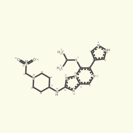 CC(C)Sc1c(-c2cn[nH]c2)ncc2nc(NC3CCN(C[SH](=O)=O)CC3)nn12